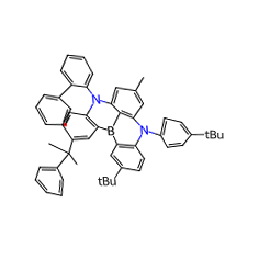 Cc1cc2c3c(c1)N(c1ccccc1-c1ccccc1)c1ccc(C(C)(C)c4ccccc4)cc1B3c1cc(C(C)(C)C)ccc1N2c1ccc(C(C)(C)C)cc1